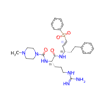 CN1CCN(C(=O)N[C@@H](CCCNC(=N)N)C(=O)N[C@H](/C=C/S(=O)(=O)c2ccccc2)CCc2ccccc2)CC1